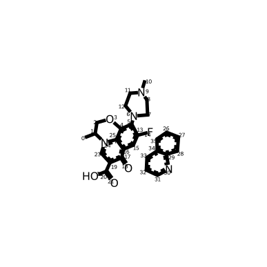 CC1COc2c(N3CCN(C)CC3)c(F)cc3c(=O)c(C(=O)O)cn1c23.c1ccc2ncccc2c1